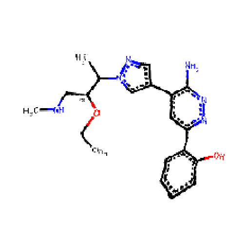 CCO[C@@H](CNC)C(C)n1cc(-c2cc(-c3ccccc3O)nnc2N)cn1